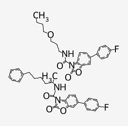 CC(CCCCc1ccccc1)NC(=O)n1c(=O)oc2cc(-c3ccc(F)cc3)ccc21.CCCCOCCCNC(=O)n1c(=O)oc2cc(-c3ccc(F)cc3)ccc21